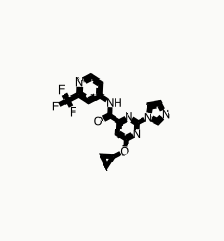 O=C(Nc1ccnc(C(F)(F)F)c1)c1cc(OC2CC2)nc(-n2ccnc2)n1